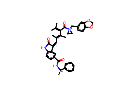 CC(C)=C(C(=O)[N+]1(Cc2ccc3c(c2)OCO3)CC1)/C(C)=C(C)/C=C1\C(=O)Nc2ccc(C(=O)N[C@H](C)c3ccccc3)cc21